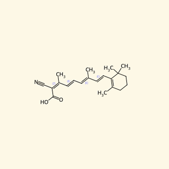 CC1=C(/C=C/C(C)=C/C=C/C(C)=C(/C#N)C(=O)O)C(C)(C)CCC1